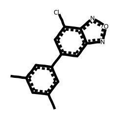 Cc1cc(C)cc(-c2cc(Cl)c3nonc3c2)c1